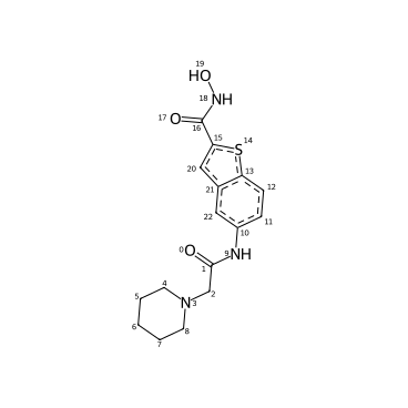 O=C(CN1CCCCC1)Nc1ccc2sc(C(=O)NO)cc2c1